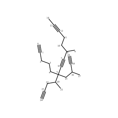 C#CCCCC(C#CC(C)CCC#CC)(CC(C)C#C)C(C)CC#C